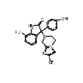 O=C1Nc2c(C(F)(F)F)cccc2C1(c1ccc(O)cc1)N1CCn2cc(C(F)(F)F)nc2C1